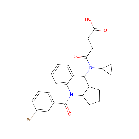 O=C(O)CCC(=O)N(C1CC1)C1c2ccccc2N(C(=O)c2cccc(Br)c2)C2CCCC21